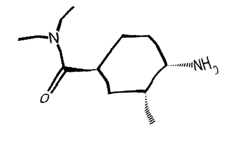 C[C@@H]1C[C@@H](C(=O)N(C)C)CC[C@@H]1N